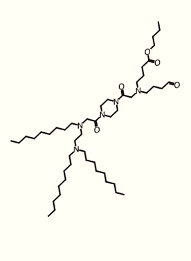 CCCCCCCCCN(CCCCCCCCC)CCN(CCCCCCCCC)CC(=O)N1CCN(C(=O)CN(CCCC=O)CCCC(=O)OCCCC)CC1